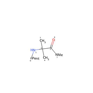 CCCCCNC(C)(C)C(=O)NC